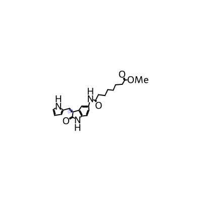 COC(=O)CCCCCCC(=O)Nc1ccc2c(c1)/C(=C/c1ccc[nH]1)C(=O)N2